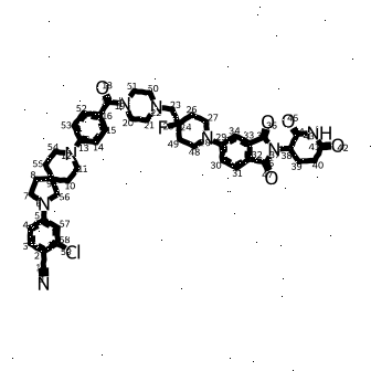 N#Cc1ccc(N2CCC3(CCN(c4ccc(C(=O)N5CCN(CC6(F)CCN(c7ccc8c(c7)C(=O)N(C7CCC(=O)NC7=O)C8=O)CC6)CC5)cc4)CC3)C2)cc1Cl